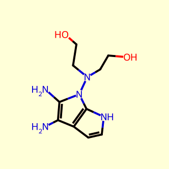 Nc1c(N)n(N(CCO)CCO)c2[nH]ccc12